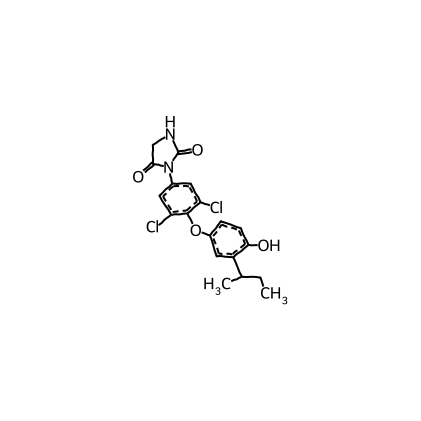 CCC(C)c1cc(Oc2c(Cl)cc(N3C(=O)CNC3=O)cc2Cl)ccc1O